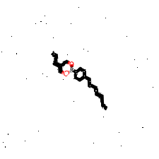 CCCCCCCC1CCC(B2OCC(CCC)CO2)CC1